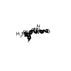 NC(=O)C1(C(=O)N(c2ccc(F)cc2)c2ccc(Oc3ccnc(Nc4cccc(CN5CCOCC5)c4)n3)cc2)CC1